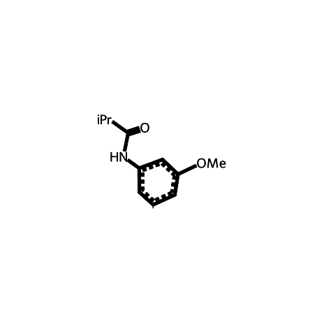 COc1c[c]cc(NC(=O)C(C)C)c1